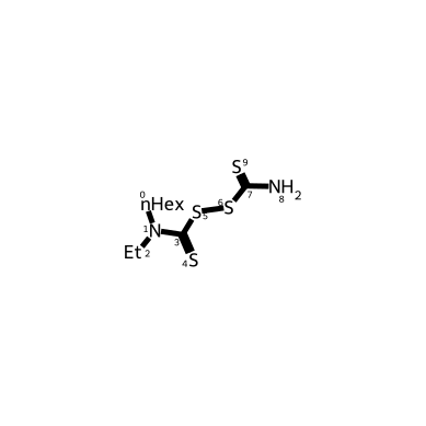 CCCCCCN(CC)C(=S)SSC(N)=S